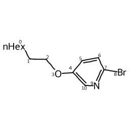 CCCCCCCCOc1ccc(Br)nc1